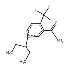 CCN(CC)c1ccc(C(F)(F)F)c(C(N)=O)c1